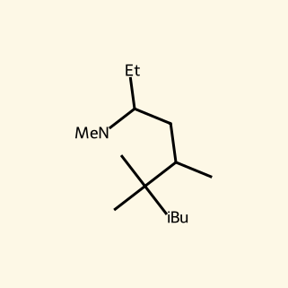 CCC(CC(C)C(C)(C)C(C)CC)NC